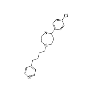 Clc1ccc(C2CCN(CCCCc3ccncc3)CCS2)cc1